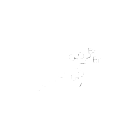 C=CC(=O)OC(CCCCCCCCCCC)C1=CC(=C(Br)Br)OC1=O